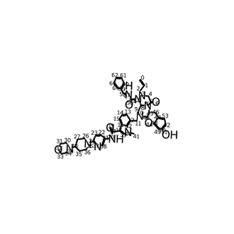 C=CCN1CC(=O)N2C(CN(Cc3cccc4c(C(=O)Nc5ccc(N6CCC(N7CCOCC7)CC6)nc5)cn(C)c34)C(=O)[C@@H]2Cc2ccc(O)cc2)N1C(=O)NCc1ccccc1